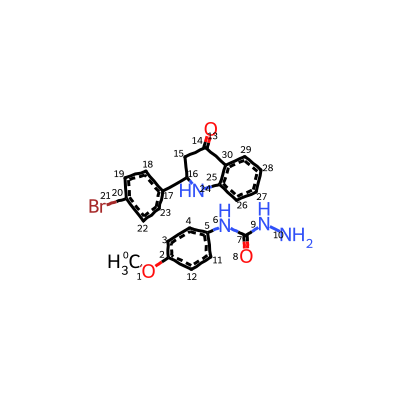 COc1ccc(NC(=O)NN)cc1.O=C1CC(c2ccc(Br)cc2)Nc2ccccc21